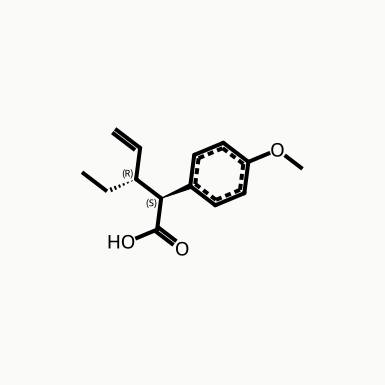 C=C[C@@H](CC)[C@H](C(=O)O)c1ccc(OC)cc1